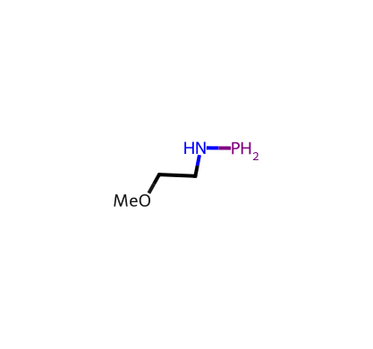 COCCNP